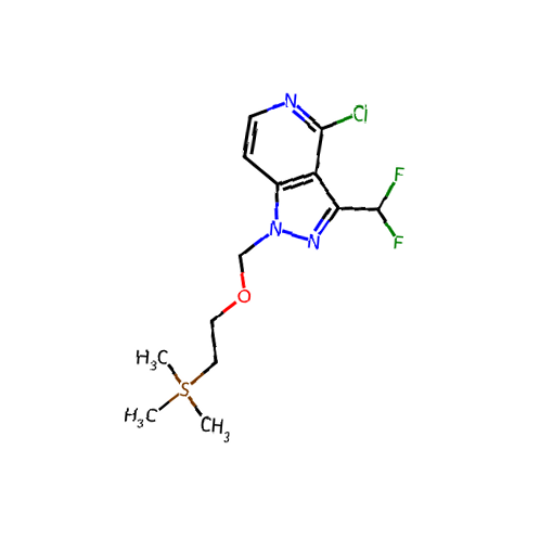 CS(C)(C)CCOCn1nc(C(F)F)c2c(Cl)nccc21